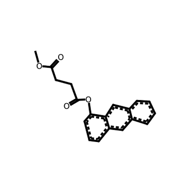 COC(=O)CCC(=O)Oc1cccc2cc3ccccc3cc12